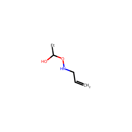 C=CCNOC(O)CC